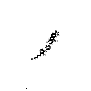 CC(C)CCCCc1nccc(Sc2cnc(N3CCC4(CC3)Cc3ccc(S(C)(=O)=O)cc3[C@H]4N)cn2)c1Cl